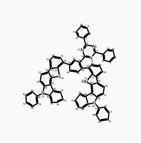 c1ccc(-c2nc(-c3ccccc3)nc(-c3cc(-c4cccc5c4sc4c5ccc5c4c4ccccc4n5-c4ccccc4)ccc3-c3cccc4c3[nH]c3c4ccc4c3c3ccccc3n4-c3ccccc3)n2)cc1